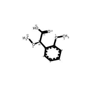 COc1ccccc1[C@@H](OC)C(=O)O